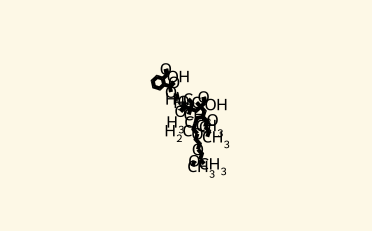 C=C(OCCOCC(C)OC)C(C)(C)CC(CC(C)(CC(C)(CC)C(=O)OCCOC(=O)C1CCCCC1C(=O)O)C(=O)O)C(=O)OCC